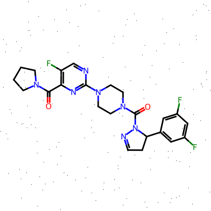 O=C(c1nc(N2CCN(C(=O)N3N=CCC3c3cc(F)cc(F)c3)CC2)ncc1F)N1CCCC1